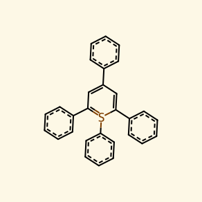 C1=C(c2ccccc2)C=C(c2ccccc2)S(c2ccccc2)=C1c1ccccc1